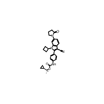 C[C@@H](OC(=O)Nc1ccc(-c2c(C#N)c3ccc(N4CCCC4=O)cc3n2C2CCC2)cc1)C1CC1